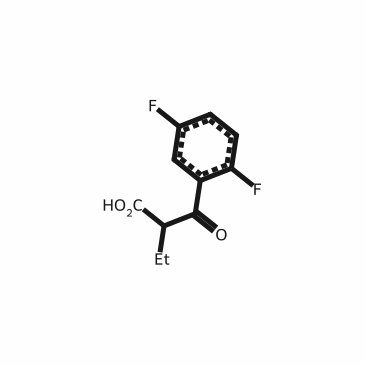 CCC(C(=O)O)C(=O)c1cc(F)ccc1F